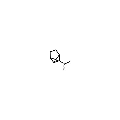 C[SiH](C)C1=CC2CCC1C2